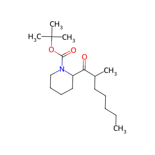 CCCCCC(C)C(=O)C1CCCCN1C(=O)OC(C)(C)C